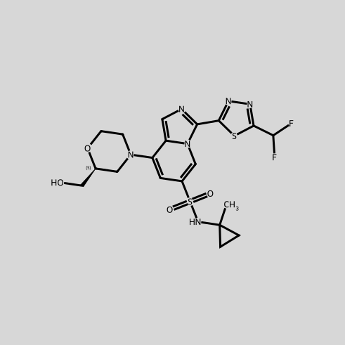 CC1(NS(=O)(=O)c2cc(N3CCO[C@H](CO)C3)c3cnc(-c4nnc(C(F)F)s4)n3c2)CC1